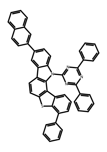 c1ccc(-c2nc(-c3ccccc3)nc(-n3c4ccc(-c5ccc6ccccc6c5)cc4c4ccc5sc6c(-c7ccccc7)cccc6c5c43)n2)cc1